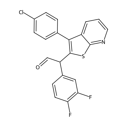 O=CC(c1ccc(F)c(F)c1)c1sc2ncccc2c1-c1ccc(Cl)cc1